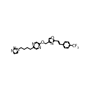 FC(F)(F)c1ccc(C=Cc2nc(COc3cnc(CCCCn4ccnn4)cn3)co2)cc1